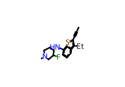 CC#Cc1sc2c(NC3CCN(C)CC3F)cccc2c1CC